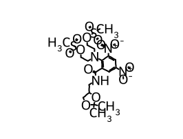 CC1(C)OCC(CNC(=O)c2cc([N+](=O)[O-])cc([N+](=O)[O-])c2N(CCOS(C)(=O)=O)CCOS(C)(=O)=O)O1